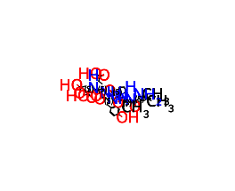 CC(C)C[C@H](N)C(=O)N[C@@H](C)C(=O)N1CCC[C@H]1C(=O)N[C@@H](Cc1ccc(O)cc1)C(=O)N[C@@H](CCC(=O)O)C(=O)N[C@@H](CC(=O)O)C(=O)O